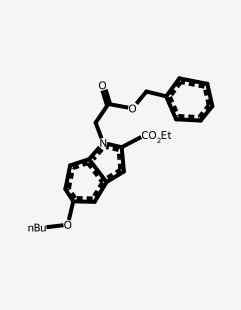 CCCCOc1ccc2c(c1)cc(C(=O)OCC)n2CC(=O)OCc1ccccc1